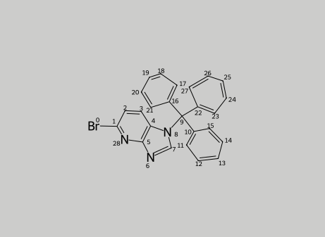 Brc1ccc2c(ncn2C(c2ccccc2)(c2ccccc2)c2ccccc2)n1